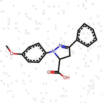 COc1ccc(N2N=C(c3ccccc3)CC2C(=O)O)cc1